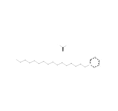 CCCCCCCCCCCCCCCC[n+]1ccccc1.O=C([O-])O